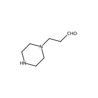 O=[C]CCN1CCNCC1